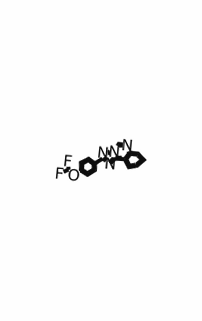 FC(F)Oc1ccc(-c2nc3c4ccccc4ncn3n2)cc1